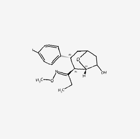 CCC(=NOC)[C@@H]1[C@@H]2OC(CC2O)C[C@H]1c1ccc(I)cc1